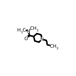 CCCN1CCC(C(=O)N(C)C)CC1